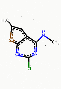 CNc1nc(Cl)nc2sc(C)cc12